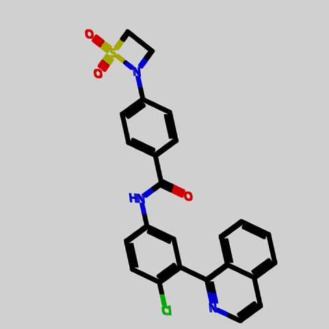 O=C(Nc1ccc(Cl)c(-c2nccc3ccccc23)c1)c1ccc(N2CCS2(=O)=O)cc1